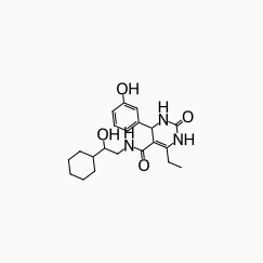 CCC1=C(C(=O)NCC(O)C2CCCCC2)C(c2cccc(O)c2)NC(=O)N1